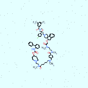 CN(CCCCCC(=O)N(C)CCN1CCC(OC(=O)Nc2ccccc2-c2ccccc2)CC1)Cc1ccc(C(=O)N(C)CCCN(C)C(=O)CO[C@H]2Cc3ccccc3C23CCN(CC[C@@]2(c4ccc(F)cc4)CN(C(=O)c4cc(C(F)(F)F)cc(C(F)(F)F)c4)CO2)CC3)cc1